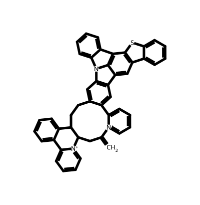 C=C1CC2C(CCc3cc4c(cc3-c3cccc[n+]31)c1cc3c5ccccc5sc3c3c5ccccc5n4c13)c1ccccc1-c1cccc[n+]12